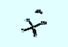 O=P(O)(O)Cl.[SiH4]